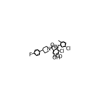 Cc1ccc(Cl)cc1Nc1c(C(=O)N2CCC(c3ccc(F)cc3)CC2)cn(O)c(=O)c1Cl